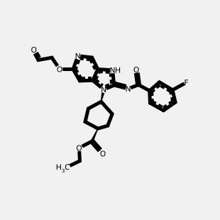 CCOC(=O)[C@H]1CC[C@@H](n2/c(=N/C(=O)c3cccc(F)c3)[nH]c3cnc(OCC=O)cc32)CC1